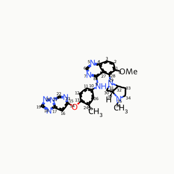 COc1ccc2ncnc(Nc3ccc(Oc4cc5ncnn5cn4)c(C)c3)c2c1N1C[C@@H]2C1CCN2C